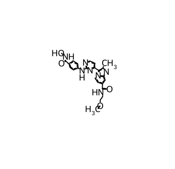 COCCNC(=O)c1ccn2c(-c3ccnc(Nc4ccc(C(=O)NO)cc4)n3)c(C)nc2c1